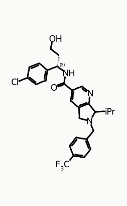 CC(C)C1c2ncc(C(=O)N[C@@H](CCO)c3ccc(Cl)cc3)cc2CN1Cc1ccc(C(F)(F)F)cc1